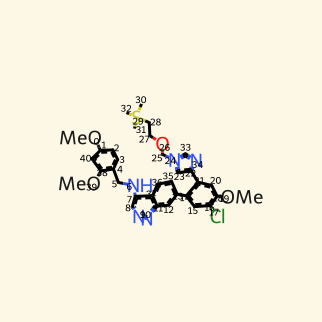 COc1ccc(CNc2cnnc3cc(-c4cc(Cl)c(OC)cc4-c4cn(COCCS(C)(C)C)cn4)ccc23)c(OC)c1